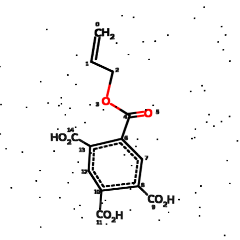 C=CCOC(=O)c1cc(C(=O)O)c(C(=O)O)cc1C(=O)O